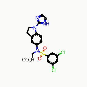 O=C(O)CN(c1ccc2c(c1)CCN2c1ncc[nH]1)S(=O)(=O)c1cc(Cl)cc(Cl)c1